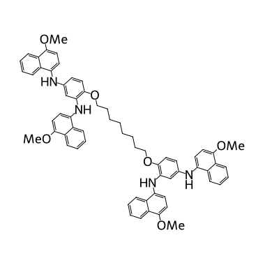 COc1ccc(Nc2ccc(OCCCCCCCCOc3ccc(Nc4ccc(OC)c5ccccc45)cc3Nc3ccc(OC)c4ccccc34)c(Nc3ccc(OC)c4ccccc34)c2)c2ccccc12